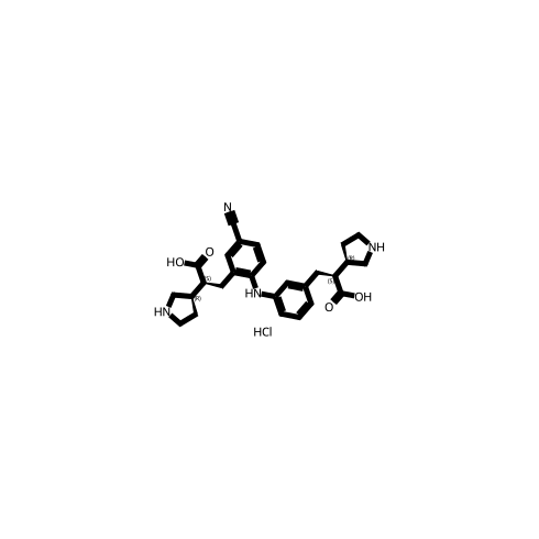 Cl.N#Cc1ccc(Nc2cccc(C[C@H](C(=O)O)[C@H]3CCNC3)c2)c(C[C@H](C(=O)O)[C@H]2CCNC2)c1